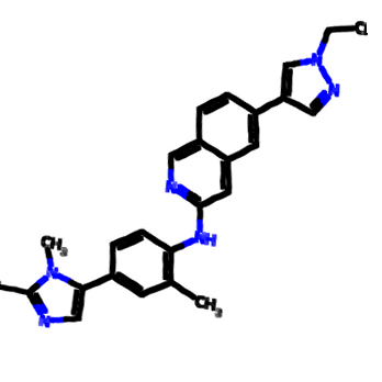 CCn1cc(-c2ccc3cnc(Nc4ccc(-c5cnc(C)n5C)cc4C)cc3c2)cn1